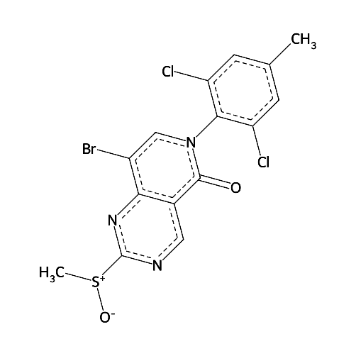 Cc1cc(Cl)c(-n2cc(Br)c3nc([S+](C)[O-])ncc3c2=O)c(Cl)c1